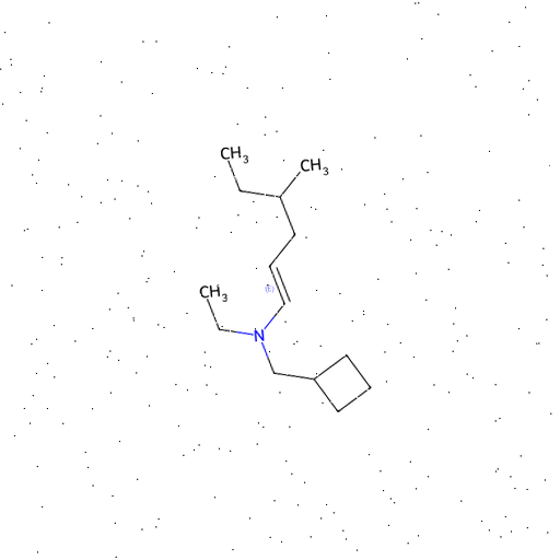 CCC(C)C/C=C/N(CC)CC1CCC1